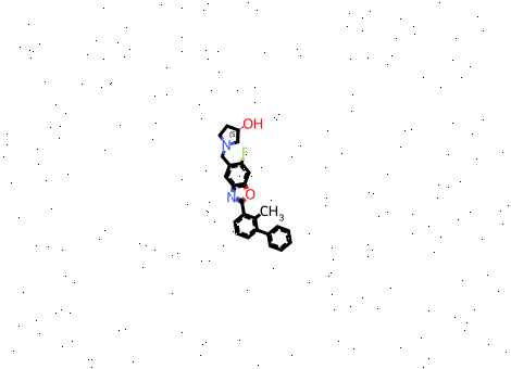 Cc1c(-c2ccccc2)cccc1-c1nc2cc(CN3CC[C@H](O)C3)c(F)cc2o1